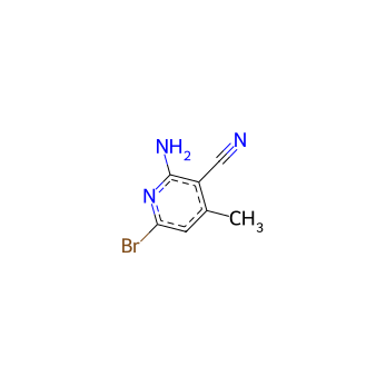 Cc1cc(Br)nc(N)c1C#N